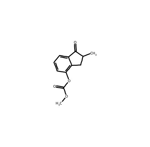 COC(=O)Oc1cccc2c1CC(C)C2=O